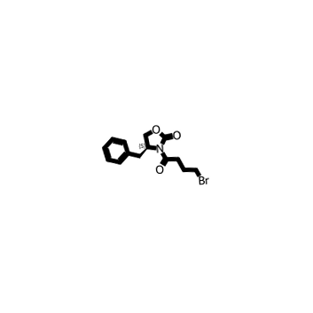 O=C(CCCBr)N1C(=O)OC[C@@H]1Cc1ccccc1